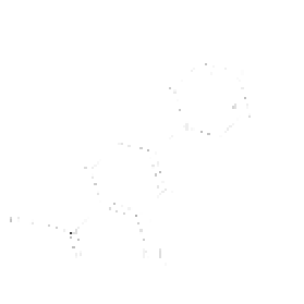 COC(=O)c1ccc(N2C[C@@H](C)O[C@@H](C)C2)cc1N